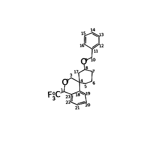 FC(F)(F)C1OCC2(CCCC(OCc3ccccc3)C2)c2ccccc21